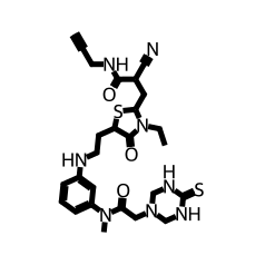 C#CCNC(=O)C(C#N)CC1SC(CCNc2cccc(N(C)C(=O)CN3CNC(=S)NC3)c2)C(=O)N1CC